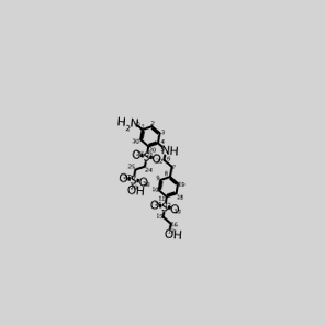 Nc1ccc(NCCc2ccc(S(=O)(=O)CCO)cc2)c(S(=O)(=O)CCS(=O)(=O)O)c1